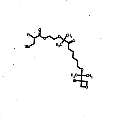 CCC(CC(C)(C)C)C(=O)OCCOC(C)(C)C(=O)CCCCCOC(C)(C)C1(CC)COC1